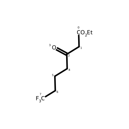 CCOC(=O)CC(=O)CCCC(F)(F)F